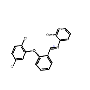 Clc1ccc(Cl)c(Oc2ccccc2/C=N/c2ccccc2Cl)c1